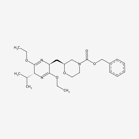 CCOC1=N[C@H](C(C)C)C(OCC)=N[C@H]1C[C@H]1CN(C(=O)OCc2ccccc2)CCO1